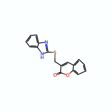 O=c1oc2ccccc2cc1CSc1nc2ccccc2[nH]1